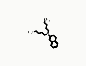 CCCCCN(CCCCC)C1=Cc2ccccc2CC1